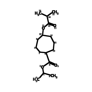 CC(C)OC(=O)C1CCCC(OC(=O)C(C)C)CCC1